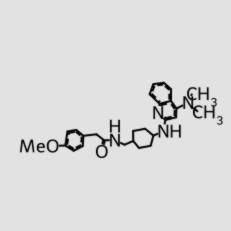 COc1ccc(CC(=O)NCC2CCC(Nc3cc(N(C)C)c4ccccc4n3)CC2)cc1